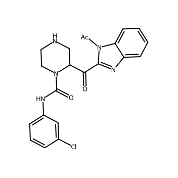 CC(=O)n1c(C(=O)C2CNCCN2C(=O)Nc2cccc(Cl)c2)nc2ccccc21